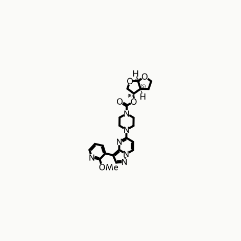 COc1ncccc1-c1cnn2ccc(N3CCN(C(=O)O[C@H]4CO[C@H]5OCC[C@H]54)CC3)nc12